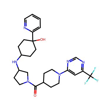 O=C(C1CCN(c2cc(C(F)(F)F)ncn2)CC1)N1CCC(NC2CCC(O)(c3ccccn3)CC2)C1